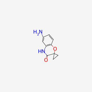 Nc1ccc2c(c1)NC(=O)C1(CC1)O2